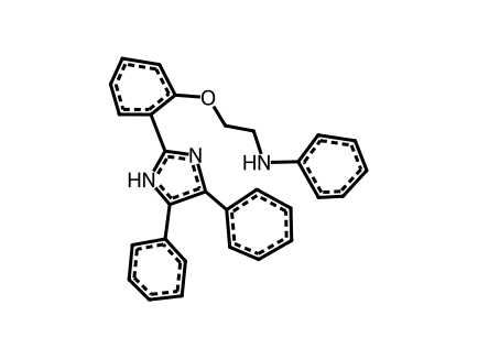 c1ccc(NCCOc2ccccc2-c2nc(-c3ccccc3)c(-c3ccccc3)[nH]2)cc1